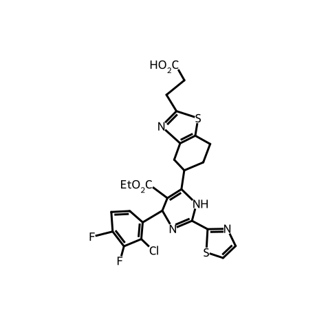 CCOC(=O)C1=C(C2CCc3sc(CCC(=O)O)nc3C2)NC(c2nccs2)=NC1c1ccc(F)c(F)c1Cl